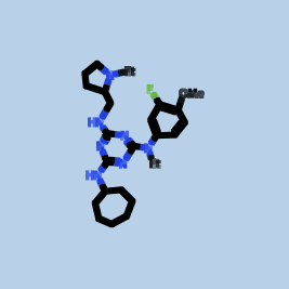 CCN(c1ccc(OC)c(F)c1)c1nc(NCC2CCCN2CC)nc(NC2CCCCCC2)n1